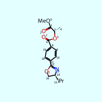 COC(=O)[C@H](C)OC(=O)c1ccc(C2=N[C@@H](C(C)C)CO2)cc1